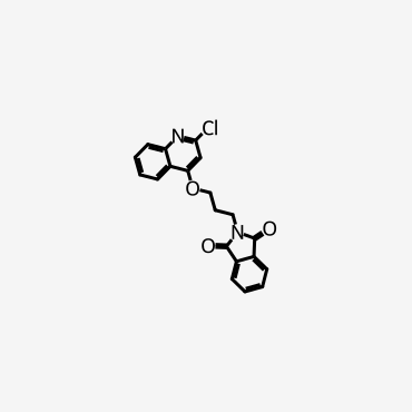 O=C1c2ccccc2C(=O)N1CCCOc1cc(Cl)nc2ccccc12